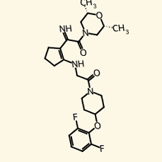 C[C@@H]1CN(C(=O)C(=N)C2=C(NCC(=O)N3CCC(Oc4c(F)cccc4F)CC3)CCC2)C[C@H](C)O1